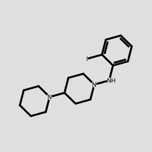 Ic1ccccc1NN1CCC(N2CCCCC2)CC1